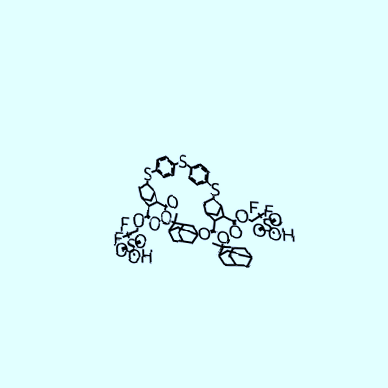 CC1(OC(=O)C2C3CC(Sc4ccc(Sc5ccc(SC6CC7CC6C(C(=O)OC6(C)C8CC9CC(C8)CC6C9)C7C(=O)OCC(F)(F)S(=O)(=O)O)cc5)cc4)C(C3)C2C(=O)OCC(F)(F)S(=O)(=O)O)C2CC3CC(C2)CC1C3